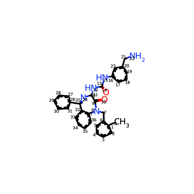 Cc1ccccc1CN1C(=O)[C@H](NC(=O)Nc2cccc(CN)c2)N=C(c2ccccc2)c2ccccc21